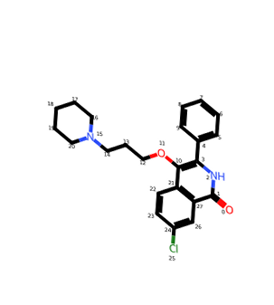 O=c1[nH]c(-c2ccccc2)c(OCCCN2CCCCC2)c2ccc(Cl)cc12